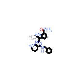 Cc1[nH]c2c(C(N)=O)cccc2c1-c1nc2c(c(NCc3ccccc3)n1)CCCCN2